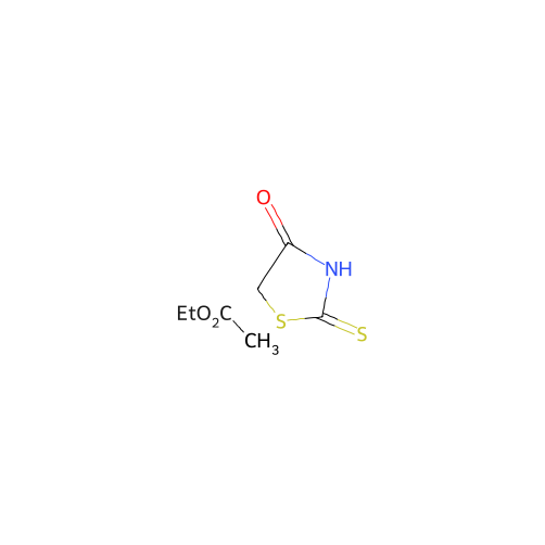 CCOC(C)=O.O=C1CSC(=S)N1